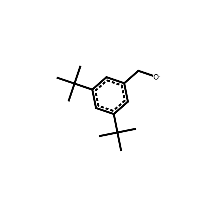 CC(C)(C)c1cc(C[O])cc(C(C)(C)C)c1